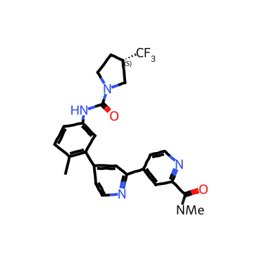 CNC(=O)c1cc(-c2cc(-c3cc(NC(=O)N4CC[C@H](C(F)(F)F)C4)ccc3C)ccn2)ccn1